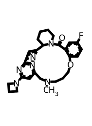 CN1CCCOc2ccc(F)cc2C(=O)N2CCCCC2c2cc3nc(N4CCC4)cc(n3n2)C1